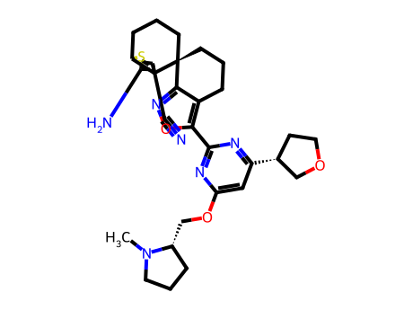 CN1CCC[C@H]1COc1cc([C@@H]2CCOC2)nc(-c2onc3c2CCC[C@@]32CCCc3sc(N)c(C#N)c32)n1